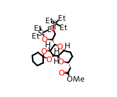 CC[Si](CC)(CC)OCC(O[Si](CC)(CC)CC)[C@@H]1O[C@H]2CC[C@H](CC(=O)OC)O[C@@H]2[C@@H]2OC3(CCCCC3)O[C@@H]21